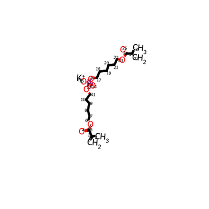 C=C(C)C(=O)OCCCCCCOP(=O)([O-])OCCCCCCOC(=O)C(=C)C.[K+]